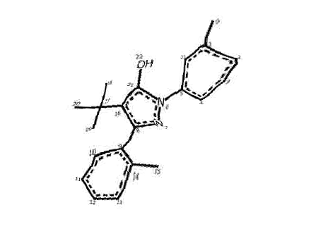 Cc1cccc(-n2nc(-c3ccccc3C)c(C(C)(C)C)c2O)c1